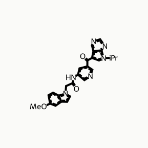 COc1ccc2c(ccn2CC(=O)Nc2cncc(C(=O)c3cn(C(C)C)c4ncncc34)c2)c1